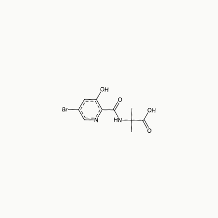 CC(C)(NC(=O)c1ncc(Br)cc1O)C(=O)O